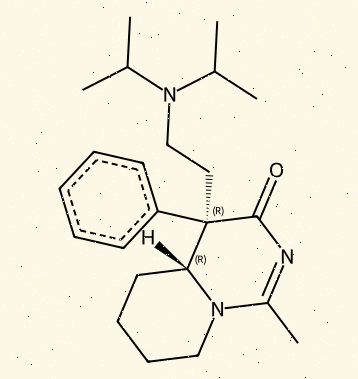 CC1=NC(=O)[C@](CCN(C(C)C)C(C)C)(c2ccccc2)[C@H]2CCCCN12